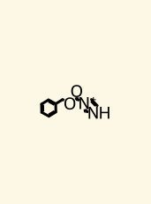 O=C(OCc1ccccc1)[n+]1cc[nH]c1